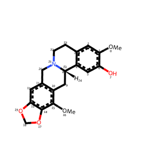 COc1cc2c(cc1O)[C@@H]1Cc3c(cc4c(c3OC)OCO4)CN1CC2